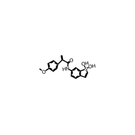 C=C(C(=O)Nc1ccc2c(c1)S(O)(O)C=C2)c1ccc(OC)cc1